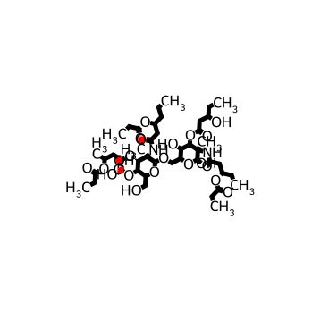 CCCC(CC(=O)NC1(C)C(OCC2OC(O)C(C)(NC(=O)CC(CC)OC(=O)CC)C(OC(=O)CC(O)CC)C2O)OC(CO)C(OP(O)O)[C@@H]1OC(=O)CC(C)OC(=O)CC)OC(=O)CC